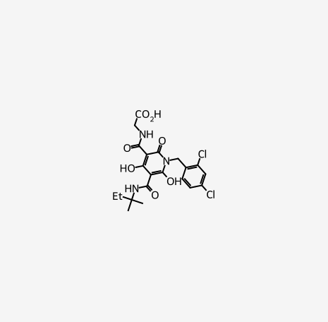 CCC(C)(C)NC(=O)c1c(O)c(C(=O)NCC(=O)O)c(=O)n(Cc2ccc(Cl)cc2Cl)c1O